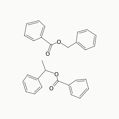 CC(OC(=O)c1ccccc1)c1ccccc1.O=C(OCc1ccccc1)c1ccccc1